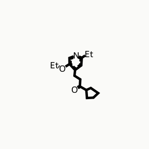 CCOc1cnc(CC)cc1CCC(=O)C1CCCC1